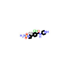 Cl.NS(=O)(=O)n1ccc(-c2ccc(C(=O)NC3CCNCC3)cc2)c1C(=O)O